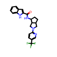 O=C(NC1CCC2CN(c3ccc(C(F)(F)F)cn3)CC21)c1cc2ccccc2[nH]1